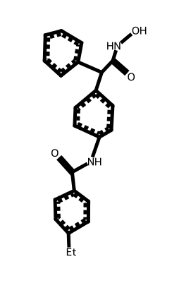 CCc1ccc(C(=O)Nc2ccc(C(C(=O)NO)c3ccccc3)cc2)cc1